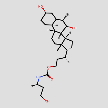 CC[C@@H]1C2C[C@H](O)CC[C@]2(C)[C@H]2CCC3(C)[C@@H]([C@H](C)CCOC(=O)N[C@H](C)CCO)CC[C@H]3[C@H]2[C@@H]1O